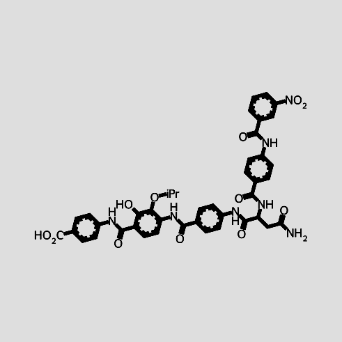 CC(C)Oc1c(NC(=O)c2ccc(NC(=O)C(CC(N)=O)NC(=O)c3ccc(NC(=O)c4cccc([N+](=O)[O-])c4)cc3)cc2)ccc(C(=O)Nc2ccc(C(=O)O)cc2)c1O